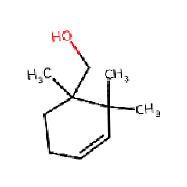 CC1(C)C=CCCC1(C)CO